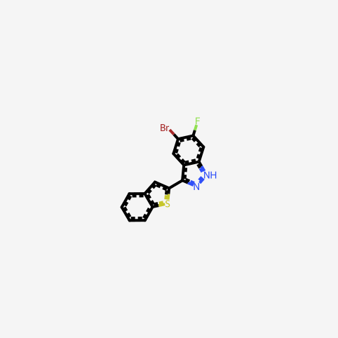 Fc1cc2[nH]nc(-c3cc4ccccc4s3)c2cc1Br